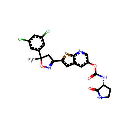 O=C(N[C@@H]1CCNC1=O)Oc1cnc2sc(C3=NOC(c4cc(Cl)cc(Cl)c4)(C(F)(F)F)C3)cc2c1